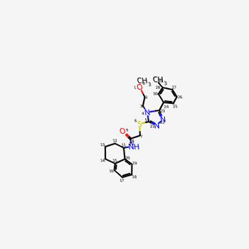 COCCn1c(SCC(=O)NC2CCCc3ccccc32)nnc1-c1cccc(C)c1